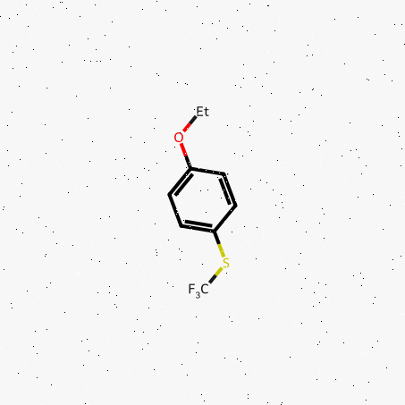 CCOc1[c]cc(SC(F)(F)F)cc1